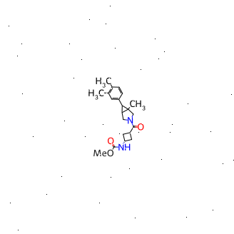 COC(=O)NC1CC(C(=O)N2CC3C(c4ccc(C)c(C)c4)C3(C)C2)C1